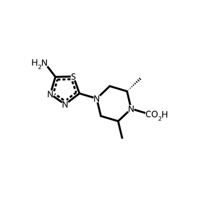 CC1CN(c2nnc(N)s2)C[C@H](C)N1C(=O)O